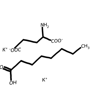 CCCCCCCC(=O)O.NC(CCC(=O)[O-])C(=O)[O-].[K+].[K+]